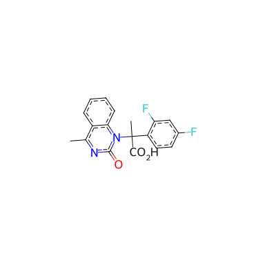 Cc1nc(=O)n(C(C)(C(=O)O)c2ccc(F)cc2F)c2ccccc12